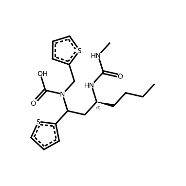 CCCC[C@@H](CC(c1cccs1)N(Cc1cccs1)C(=O)O)NC(=O)NC